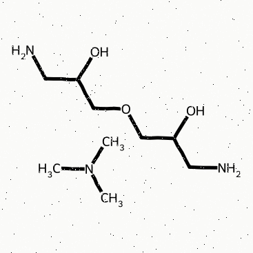 CN(C)C.NCC(O)COCC(O)CN